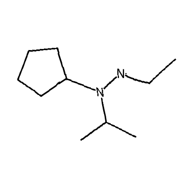 CC[N]N(C(C)C)C1CCCC1